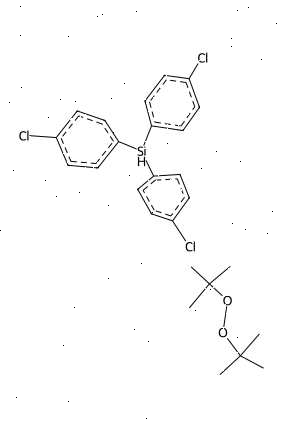 CC(C)(C)OOC(C)(C)C.Clc1ccc([SiH](c2ccc(Cl)cc2)c2ccc(Cl)cc2)cc1